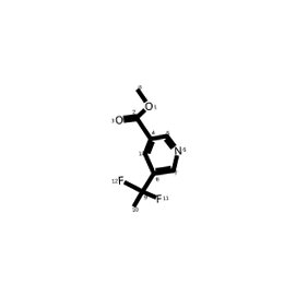 COC(=O)c1cncc(C(C)(F)F)c1